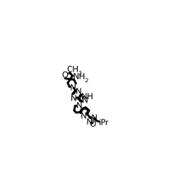 CC(C)c1nc(-c2ccc3c(n2)CCCN3c2n[nH]c3nc(N4CCC5(CC4)CO[C@@H](C)[C@H]5N)cnc23)no1